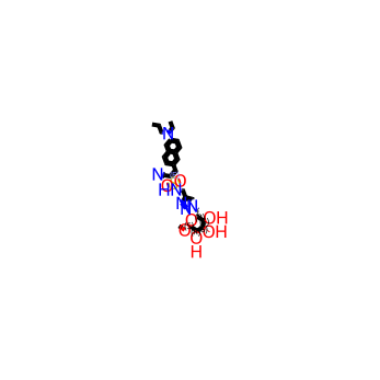 CCCN(CC)c1ccc2cc(/C=C(\C#N)S(=O)(=O)NCc3cn(C[C@H]4O[C@H](OC)[C@H](O)[C@@H](O)[C@@H]4O)nn3)ccc2c1